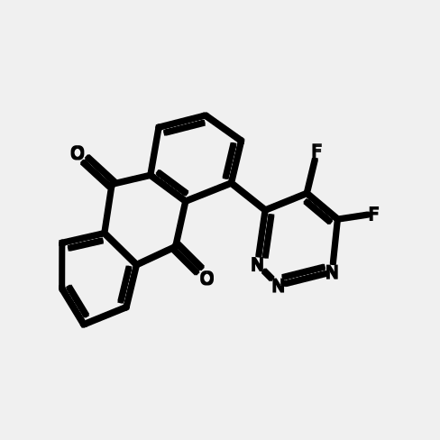 O=C1c2ccccc2C(=O)c2c1cccc2-c1nnnc(F)c1F